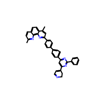 Cc1ccc2ccc3c(C)cc(-c4ccc(-c5ccc(-c6cc(C7=CC=NCC7)nc(-c7ccccc7)n6)cc5)cc4)nc3c2n1